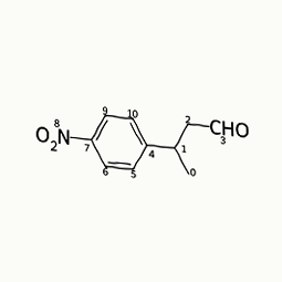 CC(CC=O)c1ccc([N+](=O)[O-])cc1